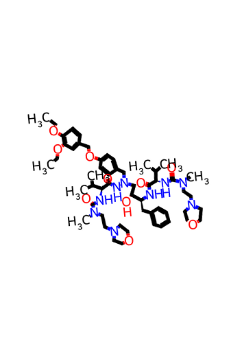 CCOc1ccc(COc2ccc(CN(C[C@H](O)[C@H](Cc3ccccc3)NC(=O)[C@@H](NC(=O)N(C)CCN3CCOCC3)C(C)C)NC(=O)[C@@H](NC(=O)N(C)CCN3CCOCC3)C(C)C)cc2)cc1OCC